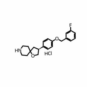 Cl.Fc1cccc(COc2ccc([C@H]3COC4(CCNCC4)C3)cc2)c1